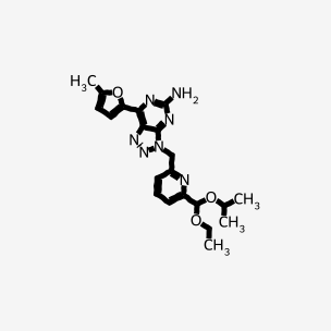 CCOC(OC(C)C)c1cccc(Cn2nnc3c(-c4ccc(C)o4)nc(N)nc32)n1